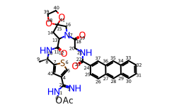 CC(=O)ONC(=N)c1csc([C@@H](C)NC(=O)C2CC3(CN2C(=O)CNC(=O)c2ccc4cc5ccccc5cc4c2)OCCO3)c1